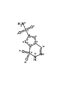 NS(=O)(=O)c1cc2c(s1)S(=O)(=O)NN=C2